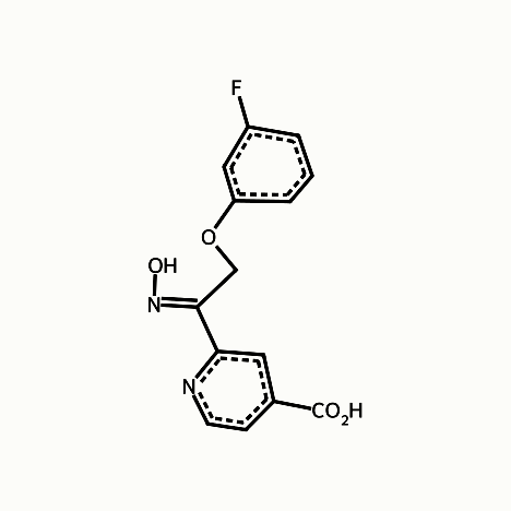 O=C(O)c1ccnc(/C(COc2cccc(F)c2)=N/O)c1